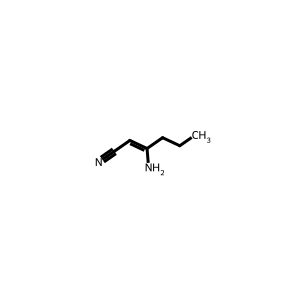 CCCC(N)=CC#N